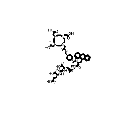 O=C(O)CC[C@H](NC(=O)N[C@@H](CC1C[C@H]1CNC(=O)[C@H](Cc1c2ccccc2cc2ccccc12)NC(=O)[C@H]1CC[C@H](CNC(=O)CN2CCN(CC(=O)O)CCN(CC(=O)O)CCN(CC(=O)O)CC2)CC1)C(=O)O)C(=O)O